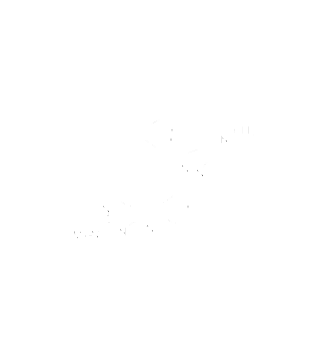 CNc1nccc(Nc2cccc(Cn3nc4c(c3-c3ccccc3F)CN(C)C4)c2)n1